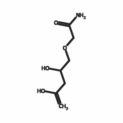 C=C(O)CC(O)COCC(N)=O